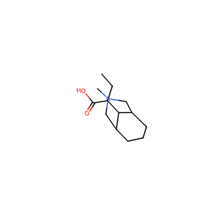 CCC(C(=O)O)C1C2CCCC1CN(C)C2